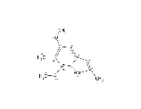 COc1cc2cc(C)[nH]c2c(OC)c1C